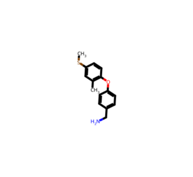 CSc1ccc(Oc2ccc(CN)cc2)c(C)c1